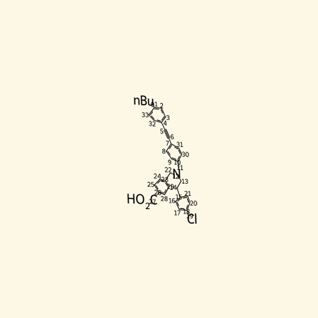 CCCCc1ccc(C#Cc2ccc(CN(CCc3ccc(Cl)cc3)Cc3ccc(C(=O)O)cc3)cc2)cc1